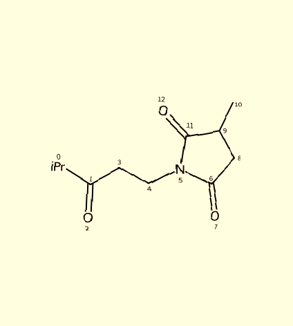 CC(C)C(=O)CCN1C(=O)CC(C)C1=O